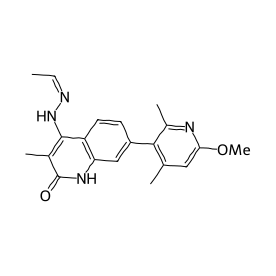 C/C=N\Nc1c(C)c(=O)[nH]c2cc(-c3c(C)cc(OC)nc3C)ccc12